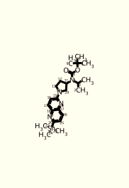 CC(C)N(C(=O)OC(C)(C)C)C1CCN(c2ccc3n[c]([Sn]([CH3])([CH3])[CH3])ccc3n2)C1